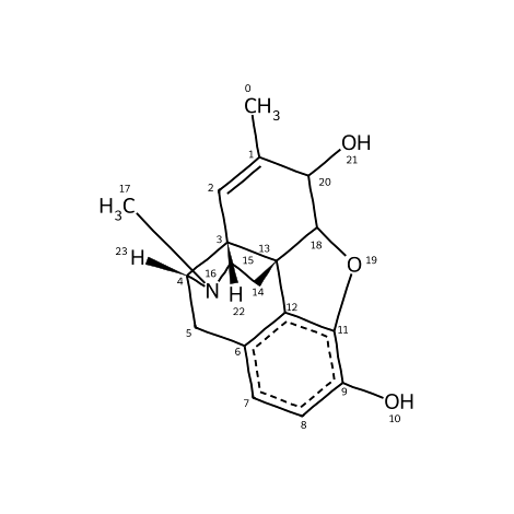 CC1=C[C@H]2[C@H]3Cc4ccc(O)c5c4[C@@]2(CCN3C)C(O5)C1O